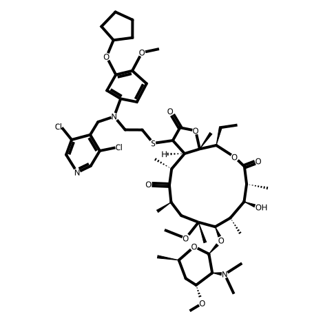 CC[C@H]1OC(=O)[C@H](C)[C@@H](O)[C@H](C)[C@@H](O[C@@H]2O[C@H](C)C[C@@H](OC)[C@@H]2N(C)C)[C@](C)(OC)C[C@@H](C)C(=O)[C@H](C)[C@H]2C(SCCN(Cc3c(Cl)cncc3Cl)c3ccc(OC)c(OC4CCCC4)c3)C(=O)O[C@@]21C